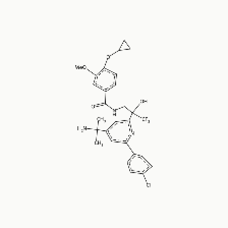 COc1cc(C(=O)NCC(O)(c2cc(C(C)(C)N)cc(-c3ccc(Cl)cc3)n2)C(F)(F)F)ccc1OC1CC1